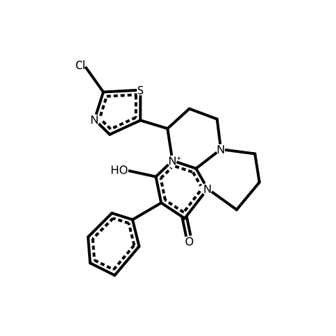 O=c1c(-c2ccccc2)c(O)[n+]2c3n1CCCN3CCC2c1cnc(Cl)s1